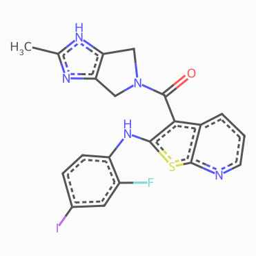 Cc1nc2c([nH]1)CN(C(=O)c1c(Nc3ccc(I)cc3F)sc3ncccc13)C2